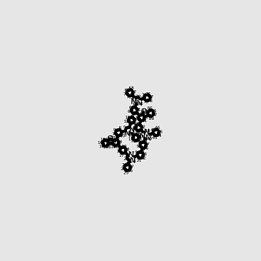 c1ccc(-c2cc(-c3cccc(-c4cc(-c5ccc(-c6cc(-c7ccccc7)nc(-c7cccc(-c8ccc(-c9nc(-c%10ccccc%10)nc(-c%10cccc(-c%11cc(-c%12cccc(-c%13nc(-c%14ccccc%14)cc(-c%14ccccc%14)n%13)c%12)c%12oc%13ccccc%13c%12c%11)c%10)n9)cc8)c7)n6)cc5)cc5c4oc4ccccc45)c3)nc(-c3ccccc3)n2)cc1